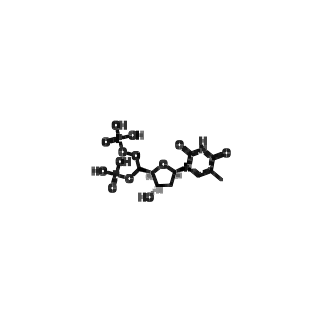 Cc1cn([C@H]2C[C@H](O)[C@@H](C(OOP(=O)(O)O)OP(=O)(O)O)O2)c(=O)[nH]c1=O